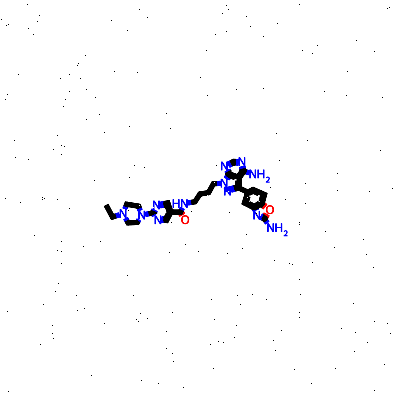 CCN1CCN(c2ncc(C(=O)NCCCCn3nc(-c4ccc5oc(N)nc5c4)c4c(N)ncnc43)cn2)CC1